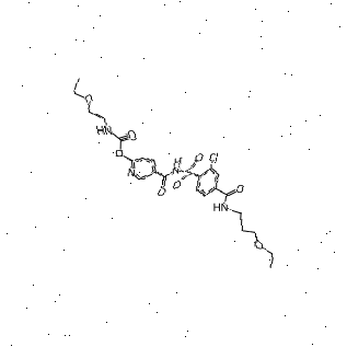 CCOCCCNC(=O)c1ccc(S(=O)(=O)NC(=O)c2ccc(OC(=O)NCCOCC)nc2)c(Cl)c1